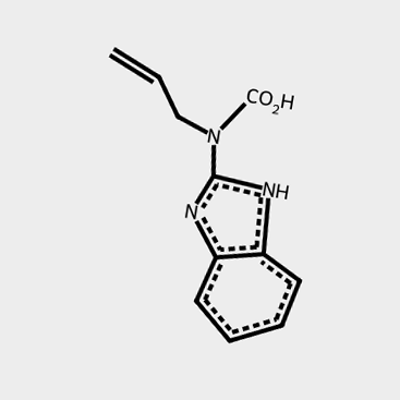 C=CCN(C(=O)O)c1nc2ccccc2[nH]1